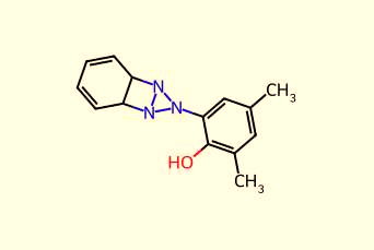 Cc1cc(C)c(O)c(-n2n3n2C2C=CC=CC23)c1